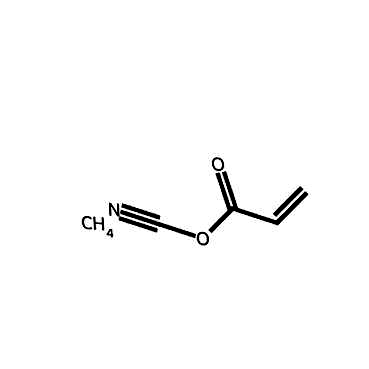 C.C=CC(=O)OC#N